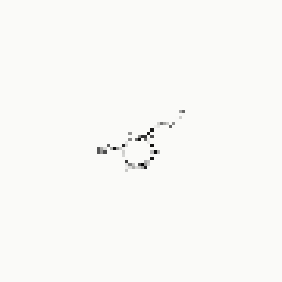 CC=Cc1cccc(Br)c1